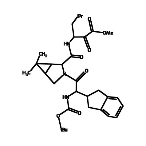 COC(=O)C(=O)C(CC(C)C)NC(=O)C1C2C(CN1C(=O)C(NC(=O)OC(C)(C)C)C1Cc3ccccc3C1)C2(C)C